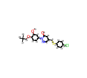 COc1cc(-n2ncc(CSc3ccc(Cl)cc3)cc2=O)ccc1OCC(C)(C)C